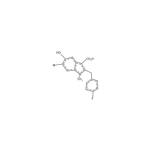 Cn1c(Cc2ccc(F)cc2)c(C(=O)O)c2cc(O)c(Br)cc21